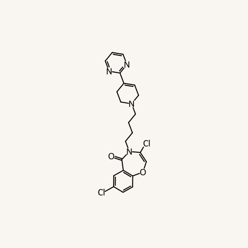 O=C1c2cc(Cl)ccc2OC=C(Cl)N1CCCCN1CC=C(c2ncccn2)CC1